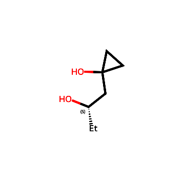 CC[C@H](O)CC1(O)CC1